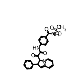 CS(=O)(=O)NC(=O)c1ccc(NC(=O)C(=O)C2C(c3ccccc3)C=C3C=CC=CN32)cc1